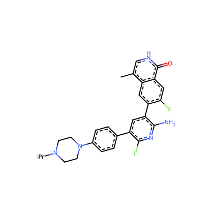 Cc1c[nH]c(=O)c2cc(F)c(-c3cc(-c4ccc(N5CCN(C(C)C)CC5)cc4)c(F)nc3N)cc12